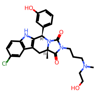 CN(CCO)CCCN1C(=O)N2[C@H](c3cccc(O)c3)c3[nH]c4ccc(Cl)cc4c3C[C@@]2(C)C1=O